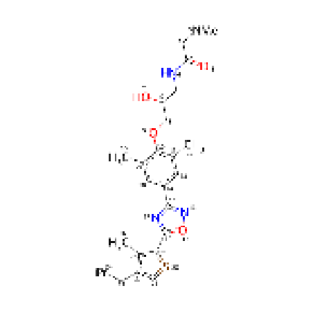 CNCC(=O)NCC(O)COc1c(C)cc(-c2noc(-c3scc(CC(C)C)c3C)n2)cc1C